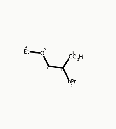 CCCC(COCC)C(=O)O